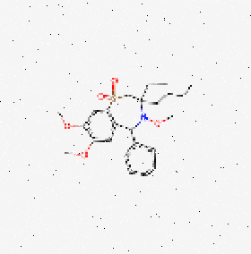 CCCCC1(CC)CS(=O)(=O)c2cc(OC)c(OC)cc2C(c2ccccc2)N1OC